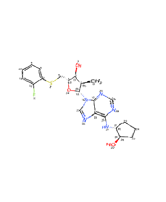 C[C@@H]1[C@H](O)[C@@H](CSc2ccccc2F)O[C@H]1n1cnc2c(N[C@@H]3CCC[C@H]3O)ncnc21